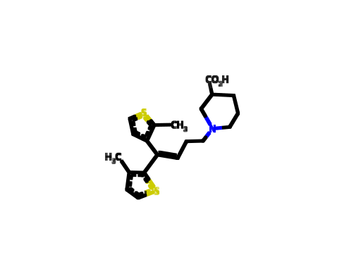 Cc1ccsc1C(=CCCN1CCCC(C(=O)O)C1)c1ccsc1C